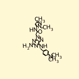 CCn1nc(C)cc1NC(=O)Cn1cnc2c(NCc3ccc(N(C)C)cc3)nc(N)nc21